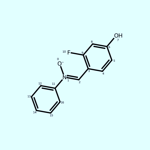 [O-][N+](=Cc1ccc(O)cc1F)c1ccccc1